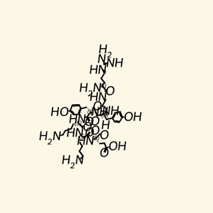 N=C(N)NCCC[C@H](N)C(=O)NCC(=O)N[C@@H](Cc1ccc(O)cc1)C(=O)N[C@@H](Cc1ccc(O)cc1)C(=O)N[C@@H](CCCCN)C(=O)N[C@@H](CCCCN)C(=O)N[C@@H](CCC(=O)O)C(=O)O